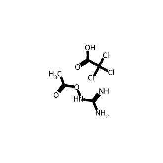 CC(=O)ONC(=N)N.O=C(O)C(Cl)(Cl)Cl